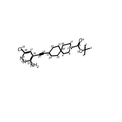 CC(C)(C)OC(=O)N1CCC2(CCC(C#Cc3cc(Cl)nnc3N)CC2)CC1